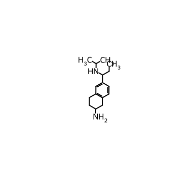 CCC(NC(C)C)c1ccc2c(c1)CCC(N)C2